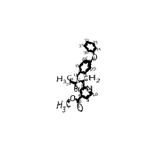 C=C(c1cc(C(=O)OC)ccn1)N(Cc1ccc(Oc2ccccc2)cc1)/C(Br)=C\C